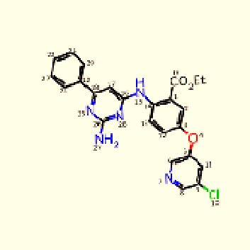 CCOC(=O)c1cc(Oc2cncc(Cl)c2)ccc1Nc1cc(-c2ccccc2)nc(N)n1